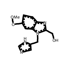 COOc1ccc2nc(CO)n(Cc3cnc[nH]3)c2c1